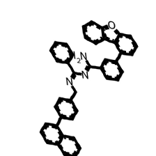 N/C(=N\C(=N/Cc1ccc(-c2cccc3ccccc23)cc1)c1ccccc1)c1cccc(-c2cccc3oc4ccccc4c23)c1